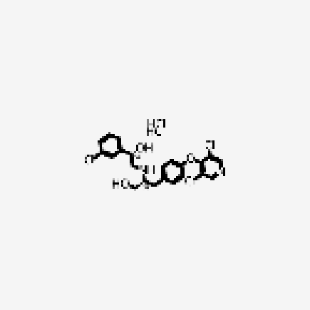 Cl.Cl.OC[C@H](Cc1ccc(Oc2c(Cl)cncc2Cl)cc1)NC[C@@H](O)c1cccc(Cl)c1